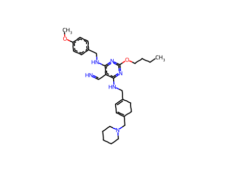 CCCCOc1nc(NCC2=CC=C(CN3CCCCC3)CC2)c(C=N)c(NCc2ccc(OC)cc2)n1